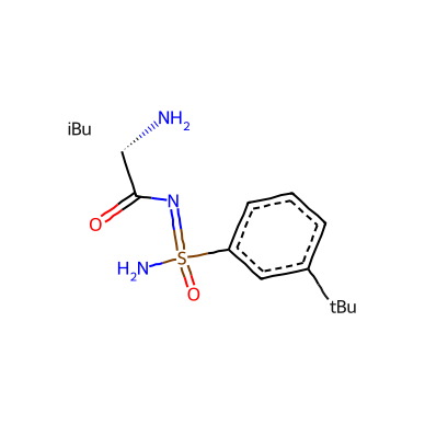 CC[C@H](C)[C@H](N)C(=O)N=S(N)(=O)c1cccc(C(C)(C)C)c1